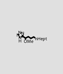 CCCCCCCCCCC(OC)c1nnn[nH]1